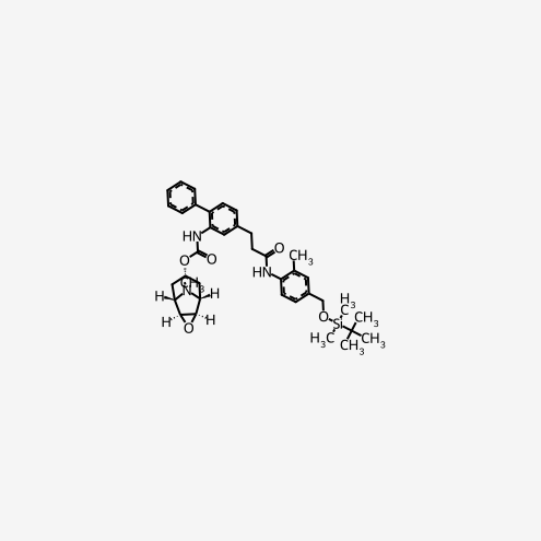 Cc1cc(CO[Si](C)(C)C(C)(C)C)ccc1NC(=O)CCc1ccc(-c2ccccc2)c(NC(=O)O[C@@H]2C[C@@H]3[C@H]4O[C@H]4[C@H](C2)N3C)c1